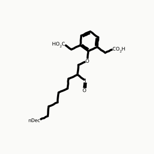 CCCCCCCCCCCCCCCCC(COc1c(CC(=O)O)cccc1CC(=O)O)I=O